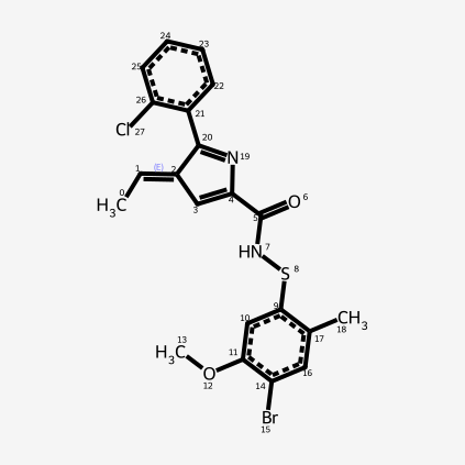 C/C=C1\C=C(C(=O)NSc2cc(OC)c(Br)cc2C)N=C1c1ccccc1Cl